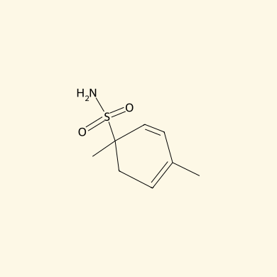 CC1=CCC(C)(S(N)(=O)=O)C=C1